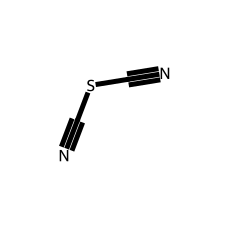 N#CSC#N